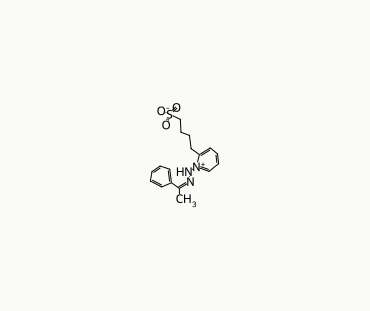 CC(=NN[n+]1ccccc1CCCCS(=O)(=O)[O-])c1ccccc1